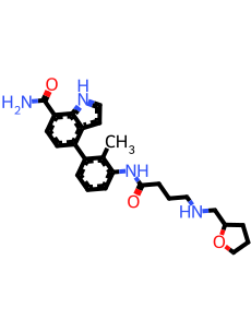 Cc1c(NC(=O)CCCNCC2CCCO2)cccc1-c1ccc(C(N)=O)c2[nH]ccc12